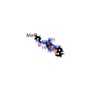 COc1ccc(C(=O)NC[C@@H]2NC(=N)N3CC(NC(=O)c4cccc5c4OCCC5(C)C)[C@@H](O)C34NC(=N)NC24)nc1